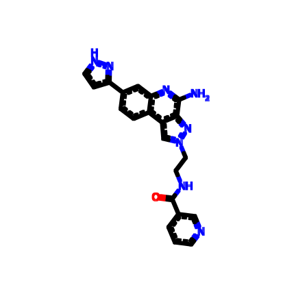 Nc1nc2cc(-c3cc[nH]n3)ccc2c2cn(CCNC(=O)c3cccnc3)nc12